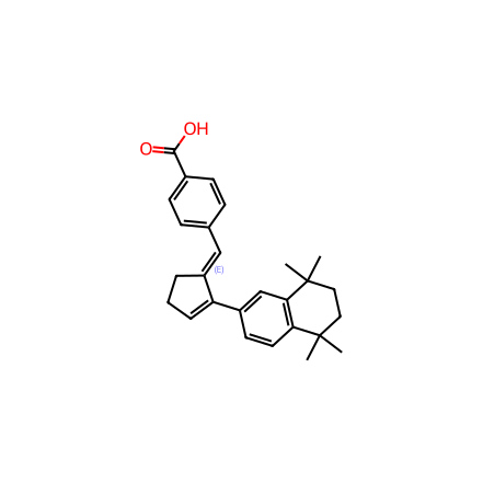 CC1(C)CCC(C)(C)c2cc(C3=CCC/C3=C\c3ccc(C(=O)O)cc3)ccc21